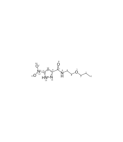 CCCOCCNC(=O)c1cc([N+](=O)[O-])[nH]n1